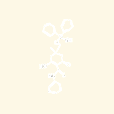 CC1(CO[Si](c2ccccc2)(c2ccccc2)C(C)(C)C)CC(=O)C(C(=S)Nc2ccccc2)=C(O)C1